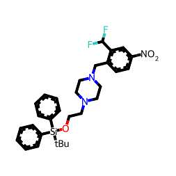 CC(C)(C)[Si](OCCN1CCN(Cc2ccc([N+](=O)[O-])cc2C(F)F)CC1)(c1ccccc1)c1ccccc1